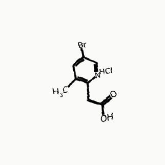 Cc1cc(Br)cnc1CC(=O)O.Cl